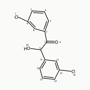 O=C(c1cccc(Cl)c1)C(O)c1cccc(Cl)c1